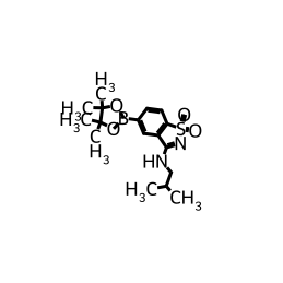 CC(C)CNC1=NS(=O)(=O)c2ccc(B3OC(C)(C)C(C)(C)O3)cc21